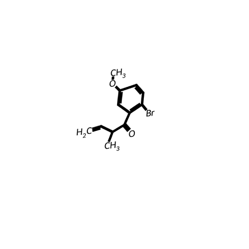 C=CC(C)C(=O)c1cc(OC)ccc1Br